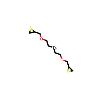 C(C[Te]CCOCC1CS1)OCC1CS1